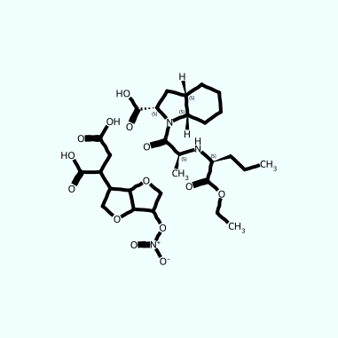 CCC[C@H](N[C@@H](C)C(=O)N1[C@H](C(=O)O)C[C@@H]2CCCC[C@@H]21)C(=O)OCC.O=C(O)CC(C(=O)O)C1COC2C(O[N+](=O)[O-])COC12